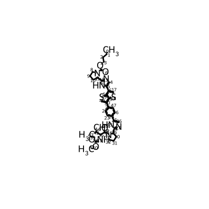 CCCCOC(=O)N1CCCC1c1ncc(-c2csc3c(-c4ccc(-c5cnc(C6CCCN6C(=O)[C@@H](NC(=O)OC)C(C)C)[nH]5)cc4)csc23)[nH]1